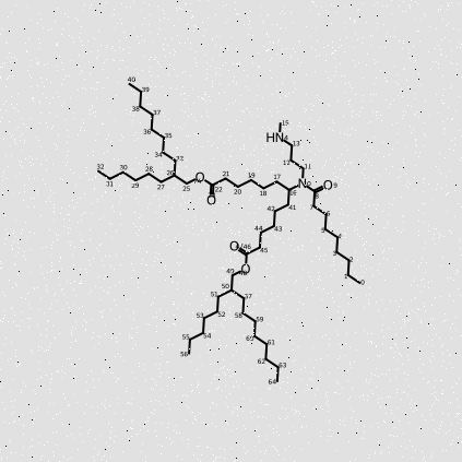 CCCCCCCCC(=O)N(CCCNC)C(CCCCCC(=O)OCC(CCCCCC)CCCCCCCC)CCCCCC(=O)OCC(CCCCCC)CCCCCCCC